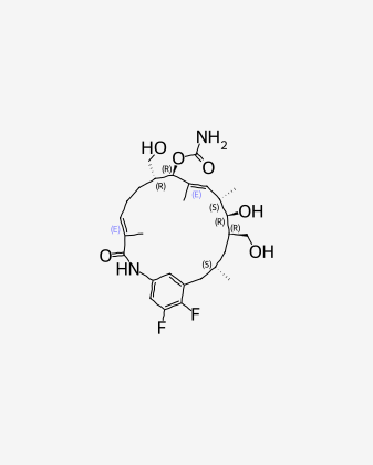 C/C1=C\CC[C@H](CO)[C@@H](OC(N)=O)/C(C)=C/[C@H](C)[C@@H](O)[C@@H](CO)C[C@H](C)Cc2cc(cc(F)c2F)NC1=O